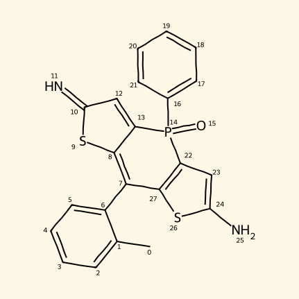 Cc1ccccc1C1=C2SC(=N)C=C2P(=O)(c2ccccc2)c2cc(N)sc21